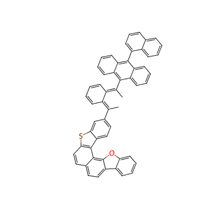 C/C(c1ccc2c(c1)sc1ccc3ccc4c5ccccc5oc4c3c12)=c1/cccc/c1=C(/C)c1c2ccccc2c(-c2cccc3ccccc23)c2ccccc12